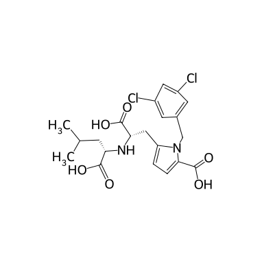 CC(C)C[C@H](N[C@@H](Cc1ccc(C(=O)O)n1Cc1cc(Cl)cc(Cl)c1)C(=O)O)C(=O)O